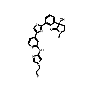 CN1CC[C@@](O)(c2cccc(-c3nc(-c4ccnc(Nc5cn(CCF)cn5)n4)cs3)c2)C1=O